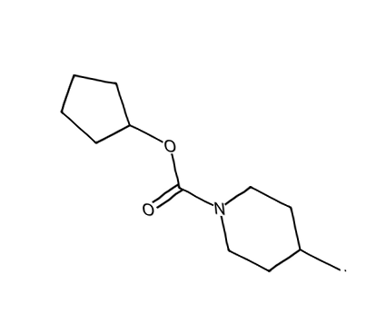 [CH2]C1CCN(C(=O)OC2CCCC2)CC1